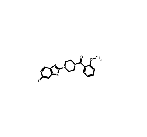 COc1ccccc1C(=O)N1CCN(c2nc3ccc(F)cc3s2)CC1